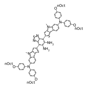 CCCCCCCCOc1ccc(N(c2ccc(OCCCCCCCC)cc2)c2ccc3c4sc(-c5c(N)c(N)c(-c6cc7c(s6)c6ccc(N(c8ccc(OCCCCCCCC)cc8)c8ccc(OCCCCCCCC)cc8)cc6n7C)c6nsnc56)cc4n(C)c3c2)cc1